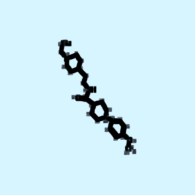 CC(C)(C)CN1CCC(CCNC(=O)C2CCN(c3ccc(OC(F)(F)F)cc3)CC2)CC1